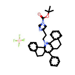 CC(C)(C)OC(=O)n1cnc(CC[n+]2c3c(c(-c4ccccc4)c4c2-c2ccccc2CC4)CCc2ccccc2-3)c1.F[B-](F)(F)F